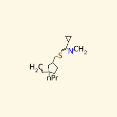 C=CC1(CCC)CCC(CS/C=C(\N=C)C2CC2)C1